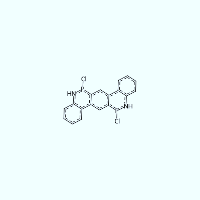 Clp1[nH]c2ccccc2c2cc3c(cc21)c1ccccc1[nH]p3Cl